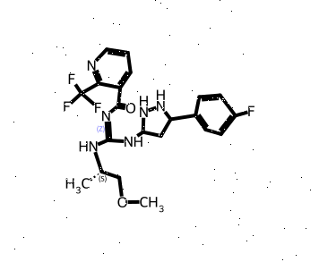 COC[C@H](C)N/C(=N/C(=O)c1cccnc1C(F)(F)F)NC1CC(c2ccc(F)cc2)NN1